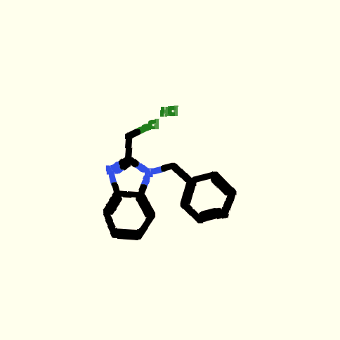 Cl.ClCc1nc2ccccc2n1Cc1ccccc1